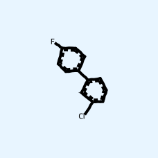 Fc1ccc(-c2[c]c(Cl)ccc2)cc1